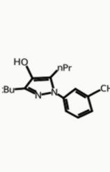 CCCc1c(O)c(C(C)(C)C)nn1-c1cccc(C)c1